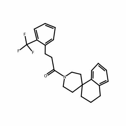 O=C(CCc1ccccc1C(F)(F)F)N1CCC2(CCCc3ccccc32)CC1